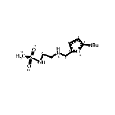 CC(C)(C)c1ccc(CNCCNS(C)(=O)=O)o1